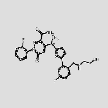 C[C@@H](c1ccc(-c2cc(F)ccc2CNCCO)s1)c1cc(=O)n(-c2ccccc2F)nc1C(N)=O